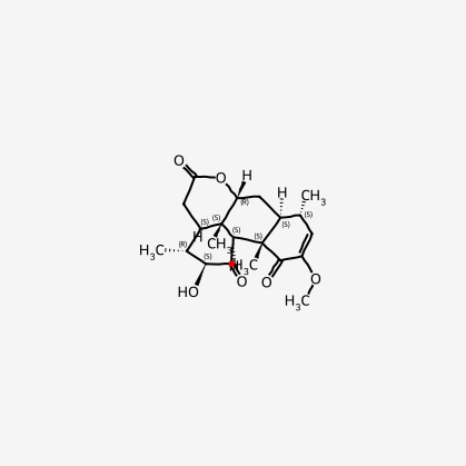 COC1=C[C@@H](C)[C@@H]2C[C@H]3OC(=O)C[C@H]4[C@@H](C)[C@H](O)C(=O)[C@H]([C@@]2(C)C1=O)[C@@]34C